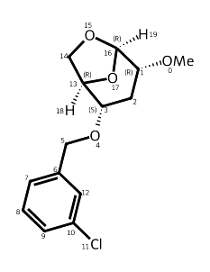 CO[C@@H]1C[C@H](OCc2cccc(Cl)c2)[C@H]2CO[C@@H]1O2